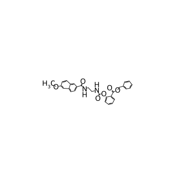 COc1ccc2cc(C(=O)NCCNC(=O)Oc3ccccc3C(=O)OCc3ccccc3)ccc2c1